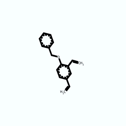 C=Cc1ccc(OCc2ccccc2)c(C=C)c1